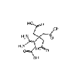 NC(N)=C(CC(=O)O)C(CC(=O)O)(CC(=O)O)CC(=O)O